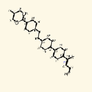 CC1COC(C2CCC(CCC3CCC(C4CCC(/C(F)=C/CF)CC4)CC3)CC2)OC1